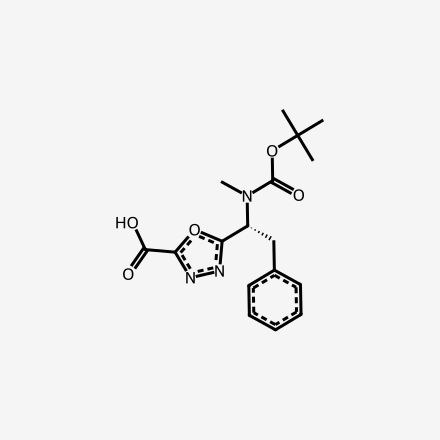 CN(C(=O)OC(C)(C)C)[C@H](Cc1ccccc1)c1nnc(C(=O)O)o1